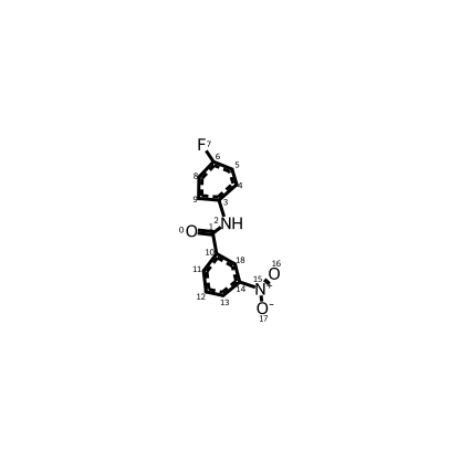 O=C(Nc1ccc(F)cc1)c1cccc([N+](=O)[O-])c1